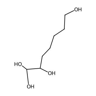 OCCCCCC(O)C(O)O